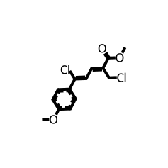 COC(=O)C(=CC=C(Cl)c1ccc(OC)cc1)CCl